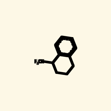 FC(F)(F)NC1CCCc2ccccc21